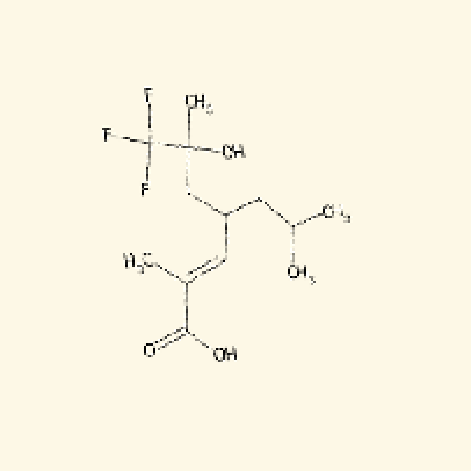 CC(=CC(CC(C)C)CC(C)(O)C(F)(F)F)C(=O)O